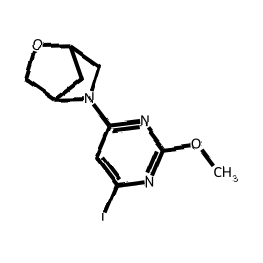 COc1nc(I)cc(N2CC3CC2CO3)n1